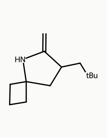 C=C1NC2(CCC2)CC1CC(C)(C)C